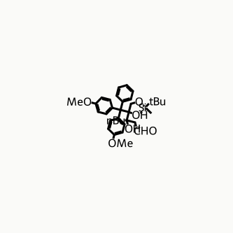 CCCCC(O)(CC=O)C(O)(CO[Si](C)(C)C(C)(C)C)C(c1ccccc1)(c1ccc(OC)cc1)c1ccc(OC)cc1